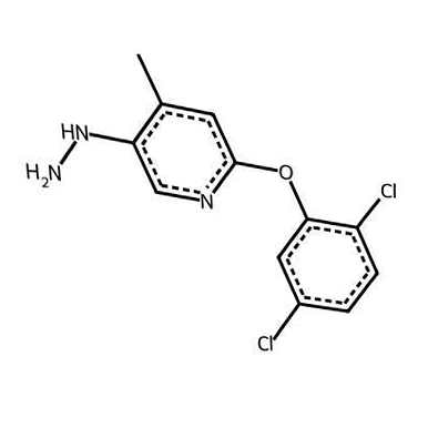 Cc1cc(Oc2cc(Cl)ccc2Cl)ncc1NN